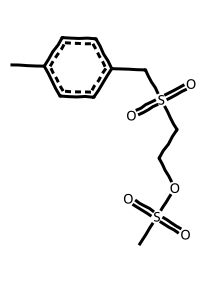 Cc1ccc(CS(=O)(=O)CCOS(C)(=O)=O)cc1